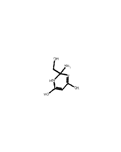 NC1(CO)N=C(O)C=C(O)N1